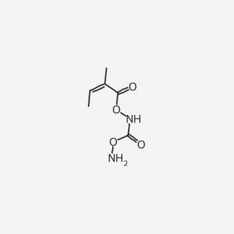 CC=C(C)C(=O)ONC(=O)ON